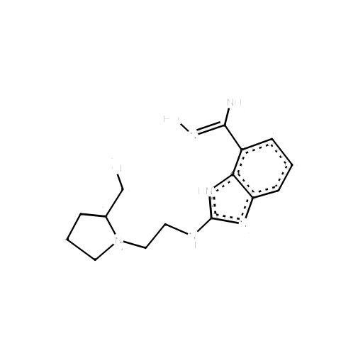 NC(=NO)c1cccc2nc(NCCN3CCCC3CO)[nH]c12